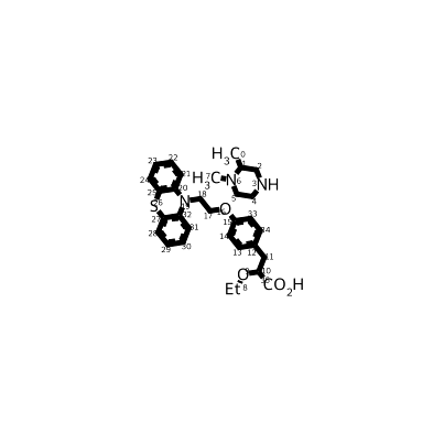 CC1CNCCN1C.CCOC(Cc1ccc(OCCN2c3ccccc3Sc3ccccc32)cc1)C(=O)O